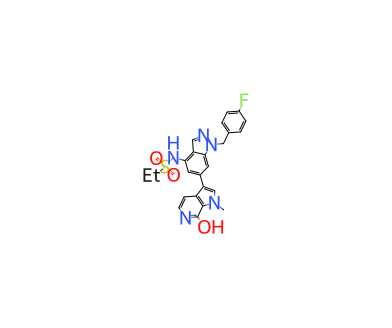 CCS(=O)(=O)Nc1cc(-c2cn(C)c3c(O)nccc23)cc2c1cnn2Cc1ccc(F)cc1